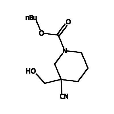 CCCCOC(=O)N1CCCC(C#N)(CO)C1